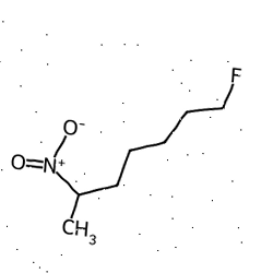 CC(CCCCCF)[N+](=O)[O-]